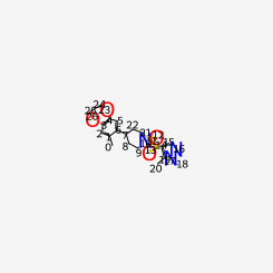 Cc1cc2c(cc1C1CCN(S(=O)(=O)c3cnn(C)c3C)CC1)OCCO2